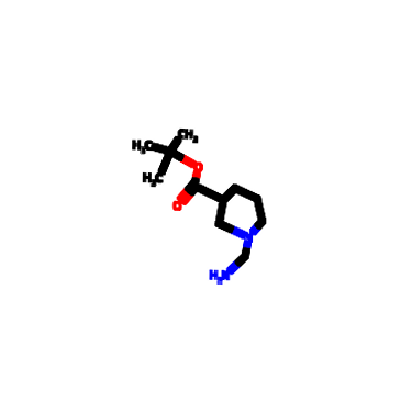 CC(C)(C)OC(=O)C1CCCN(CN)C1